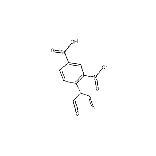 O=CC(C=O)c1ccc(C(=O)O)cc1[N+](=O)[O-]